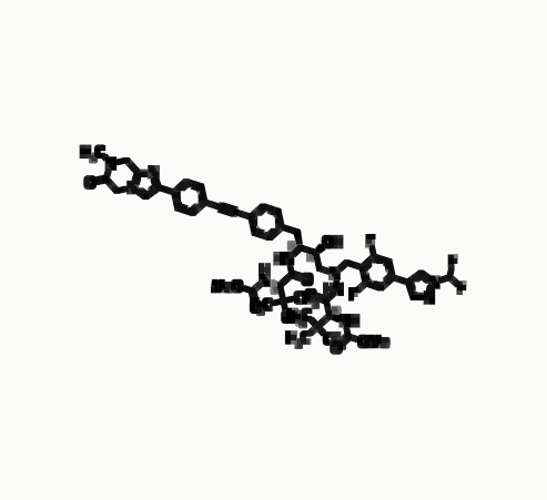 COC(=O)N[C@H](C(=O)N[C@@H](Cc1ccc(C#Cc2ccc(-c3cn4c(n3)CN(C)C(=O)C4)cc2)cc1)[C@@H](O)CN(Cc1c(F)cc(-c2cnn(C(F)F)c2)cc1F)NC(=O)[C@@H](NC(=O)OC)C(C)(C)C(F)(F)F)C(C)(C)C(F)(F)F